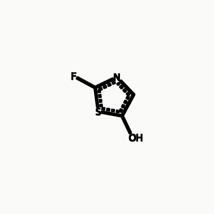 Oc1cnc(F)s1